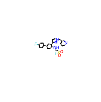 O=S(=O)(F)CCNc1ccc(-c2ccc(F)cc2)cc1-c1ccn(Cc2cccnc2)n1